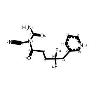 N#CN(C(N)=O)C(=O)[CH]CC(F)(F)Cc1cccnc1